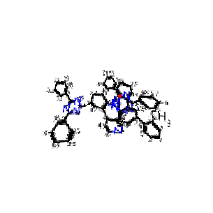 Cc1ccccc1-c1ccc2c(c1)c1ccccc1n2-c1ccc(-c2nc(-c3ccccc3)nc(-c3ccccc3)n2)cc1-c1ccncc1-c1nc(-c2ccccc2)nc(-c2ccccc2)n1